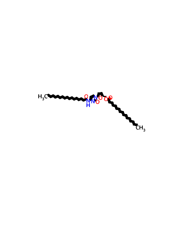 CCCCCCCCCCCCCCCCCC(=O)Nc1ccn([C@H]2CC[C@@H](COC(=O)CCCCCCCCCCCCCCCCC)O2)c(=O)n1